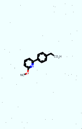 N#COc1cccc(-c2ccc(CC(=O)O)cc2)n1